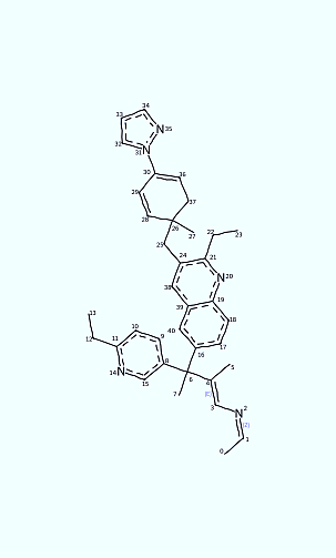 C/C=N\C=C(/C)C(C)(c1ccc(CC)nc1)c1ccc2nc(CC)c(CC3(C)C=CC(n4cccn4)=CC3)cc2c1